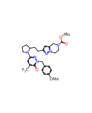 COc1ccc(Cn2nc(N3CCCC3CCc3cc4n(n3)CCN(C(=O)OC(C)(C)C)C4)cc(C(F)(F)F)c2=O)cc1